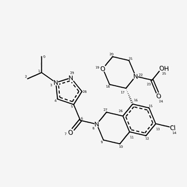 CC(C)n1cc(C(=O)N2CCc3cc(Cl)cc([C@@H]4COCCN4C(=O)O)c3C2)cn1